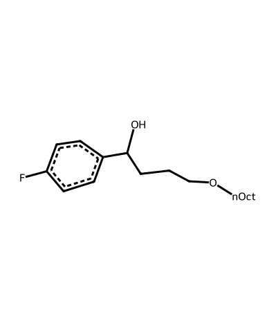 CCCCCCCCOCCCC(O)c1ccc(F)cc1